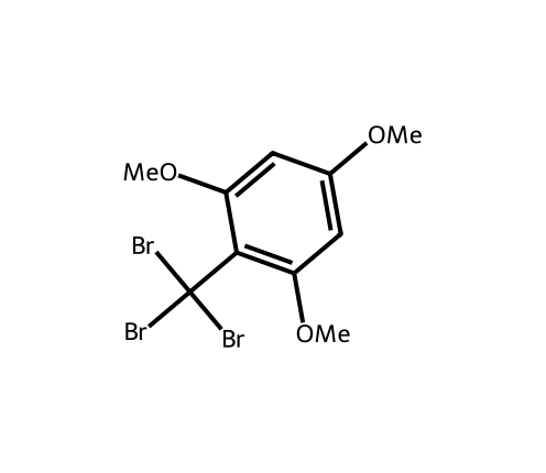 COc1cc(OC)c(C(Br)(Br)Br)c(OC)c1